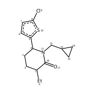 CCC1CCC(c2ccc(Cl)s2)N(CC2CC2)C1=O